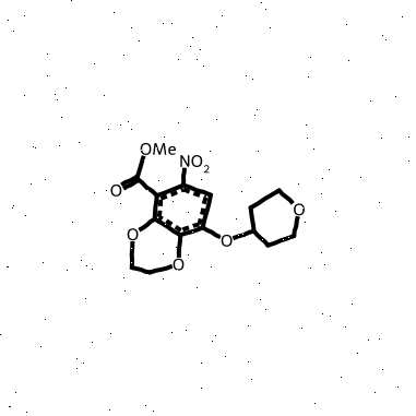 COC(=O)c1c([N+](=O)[O-])cc(OC2CCOCC2)c2c1OCCO2